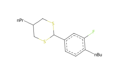 CCCCc1ccc(C2SCC(CCC)CS2)cc1F